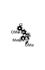 COCCOCc1nnc(-c2ccc(-c3cc(Cl)ccc3OC)nc2)n1-c1ccc(OC)nc1